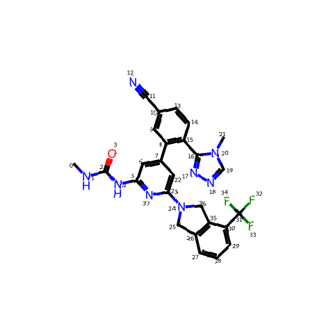 CNC(=O)Nc1cc(-c2cc(C#N)ccc2-c2nncn2C)cc(N2Cc3cccc(C(F)(F)F)c3C2)n1